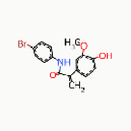 C=C(C(=O)Nc1ccc(Br)cc1)c1ccc(O)c(OC)c1